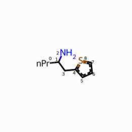 CCCC(N)Cc1cccs1